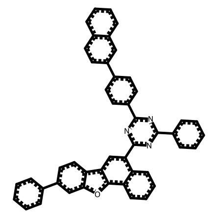 c1ccc(-c2ccc3c(c2)oc2c4ccccc4c(-c4nc(-c5ccccc5)nc(-c5ccc(-c6ccc7ccccc7c6)cc5)n4)cc32)cc1